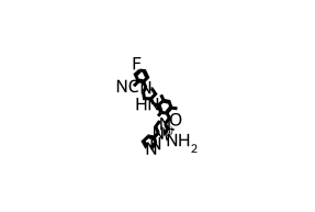 Cc1cc(C)c(C(=O)N2CCN(c3cccnn3)[C@H](CN)[C@@H]2C)c(C)c1NC1CCN(c2ccc(F)cc2C#N)CC1